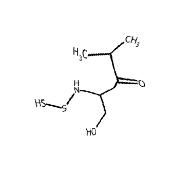 CC(C)C(=O)C(CO)NSS